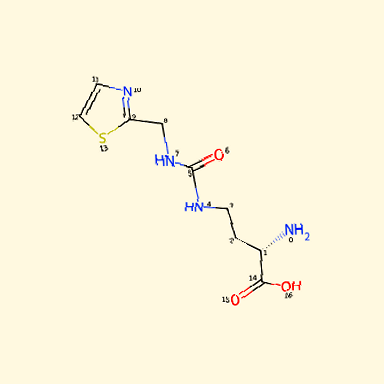 N[C@@H](CCNC(=O)NCc1nccs1)C(=O)O